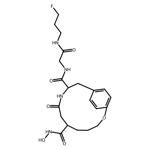 O=C(CNC(=O)C1Cc2ccc(cc2)OCCCC(C(=O)NO)CC(=O)N1)NCCCF